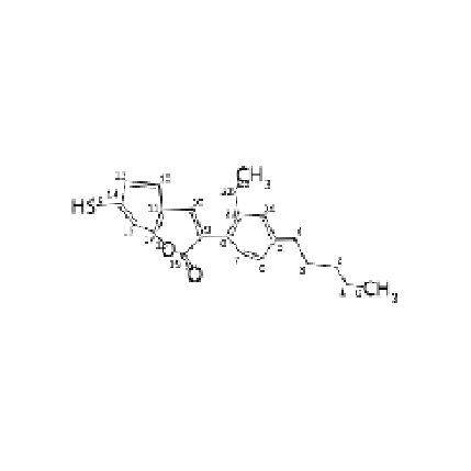 CCCCCc1ccc(-c2cc3ccc(S)cc3oc2=O)c(CC)c1